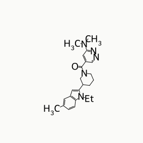 CCn1c(C2CCCN(C(=O)c3cnnc(N(C)C)c3)C2)cc2cc(C)ccc21